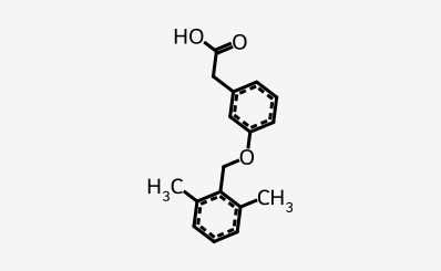 Cc1cccc(C)c1COc1cccc(CC(=O)O)c1